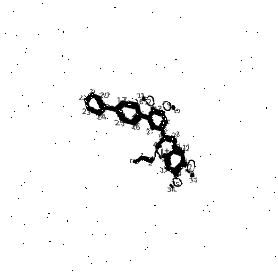 CCC[n+]1cc(-c2cc(OC)c(OC)c(-c3ccc(-c4ccccc4)cc3)c2)cc2cc(OC)c(OC)cc21